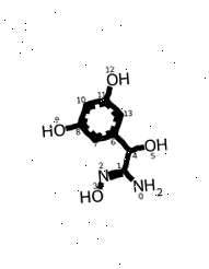 NC(=NO)C(O)c1cc(O)cc(O)c1